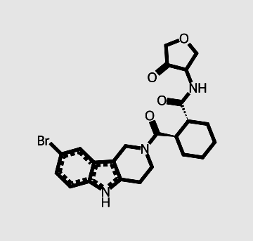 O=C1COCC1NC(=O)[C@@H]1CCCC[C@H]1C(=O)N1CCc2[nH]c3ccc(Br)cc3c2C1